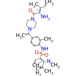 C=C/C(C)=C(\N)C(=O)N1CCN(C(=C)c2ccc(NS(=O)(=O)/C(C=C)=C(\N=C)C(=C)C)c(C)c2)CC1